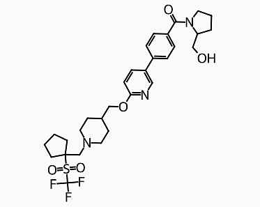 O=C(c1ccc(-c2ccc(OCC3CCN(CC4(S(=O)(=O)C(F)(F)F)CCCC4)CC3)nc2)cc1)N1CCCC1CO